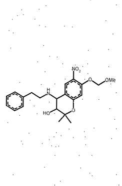 COCOc1cc2c(cc1[N+](=O)[O-])C(NCCc1ccccc1)C(O)C(C)(C)O2